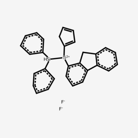 C1=CC[C]([Ti+2]([c]2cccc3c2Cc2ccccc2-3)[SiH](c2ccccc2)c2ccccc2)=C1.[F-].[F-]